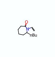 C=CN1C(=O)CCCCC1CCCC